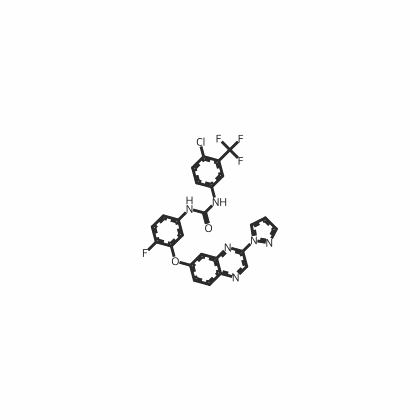 O=C(Nc1ccc(F)c(Oc2ccc3ncc(-n4cccn4)nc3c2)c1)Nc1ccc(Cl)c(C(F)(F)F)c1